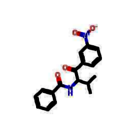 CC(C)C(NC(=O)c1ccccc1)C(=O)c1cccc([N+](=O)[O-])c1